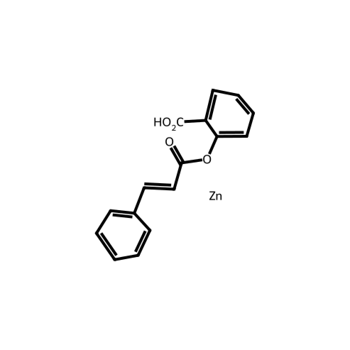 O=C(/C=C/c1ccccc1)Oc1ccccc1C(=O)O.[Zn]